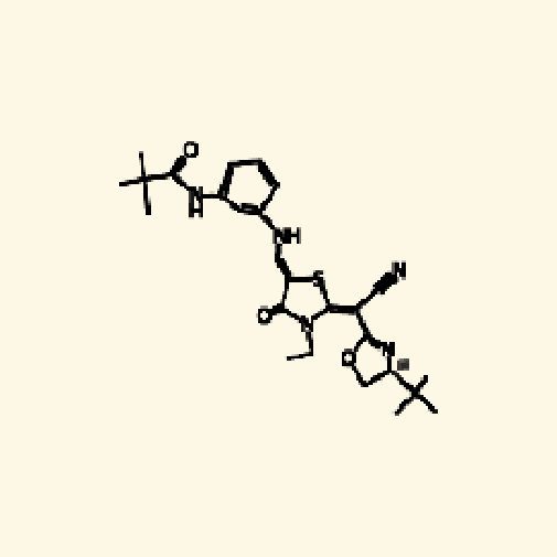 CCn1c(=C(C#N)C2=N[C@@H](C(C)(C)C)CO2)sc(=CNc2cccc(NC(=O)C(C)(C)C)c2)c1=O